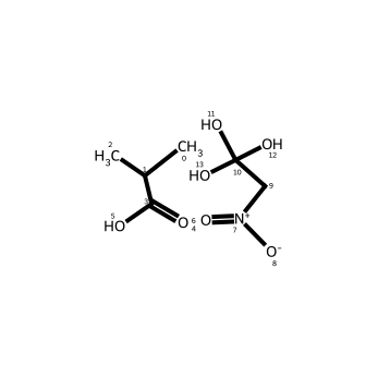 CC(C)C(=O)O.O=[N+]([O-])CC(O)(O)O